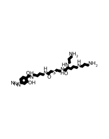 [N-]=[N+]=Nc1ccc(C(=O)NCCCCNC(=O)CSCCNC(=O)C(CCCNCCCN)NCCCN)c(O)c1